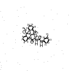 CCOC(=O)c1ccccc1N(CC(=O)N(C)c1ccccc1)C(=O)CNC(=O)Nc1cccc(C)c1